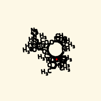 CC[C@H]1OC(=O)[C@H](C)[C@@H](O[C@H]2C[C@@](C)(OC)[C@](O)(CNn3ccnc3)[C@H](C)O2)[C@H](C)[C@@H](O[C@@H]2O[C@H](C)C[C@H](N(C)C)[C@H]2Oc2ccccc2)[C@](C)(O)C[C@@H](C)CN[C@H](C)[C@@H](O)[C@]1(C)O